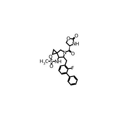 CS(=O)(=O)NC1C(Cc2cccc(-c3ccccc3)c2F)N(C(=O)[C@H]2COC(=O)N2)CC12CC2